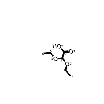 CCOC(OCC)C(=O)O